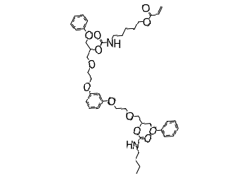 C=CC(=O)OCCCCCNC(=O)OC(COCCOc1cccc(OCCOCC(COc2ccccc2)OC(=O)NCCCC)c1)COc1ccccc1